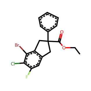 CCOC(=O)C1(c2ccccc2)Cc2cc(F)c(Cl)c(Br)c2C1